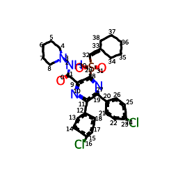 O=C(NN1CCCCC1)c1nc(-c2ccc(Cl)cc2)c(-c2ccc(Cl)cc2)nc1S(=O)(=O)C=C1CCCCC1